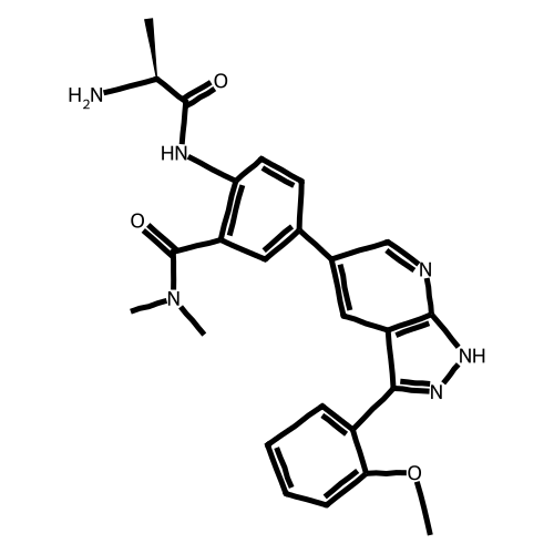 COc1ccccc1-c1n[nH]c2ncc(-c3ccc(NC(=O)[C@H](C)N)c(C(=O)N(C)C)c3)cc12